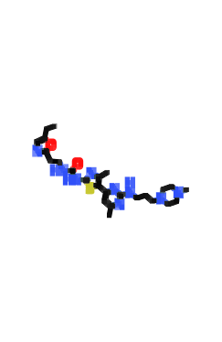 CCc1cnc(CCNC(=O)Nc2nc(C)c(-c3cc(C)nc(NCCCN4CCN(C)CC4)n3)s2)o1